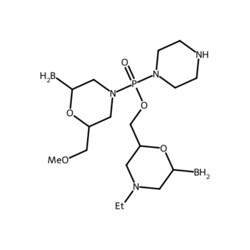 BC1CN(CC)CC(COP(=O)(N2CCNCC2)N2CC(B)OC(COC)C2)O1